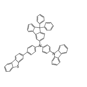 c1ccc(C2(c3ccccc3)c3ccccc3-c3cc(N(c4ccc(-c5ccc6c(c5)sc5ccccc56)cc4)c4ccc(-n5c6ccccc6c6ccccc65)cc4)ccc32)cc1